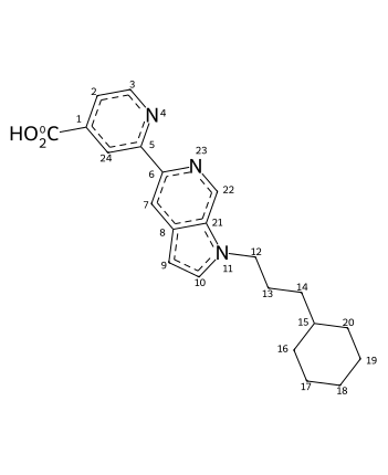 O=C(O)c1ccnc(-c2cc3ccn(CCCC4CCCCC4)c3cn2)c1